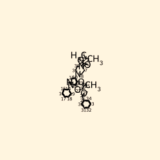 CC(C)S(=O)(=O)N1CCN(c2cnn(-c3ccccc3)c(=O)c2O[C@H](C)COCc2ccccc2)CC1